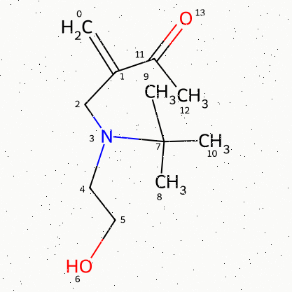 C=C(CN(CCO)C(C)(C)C)C(C)=O